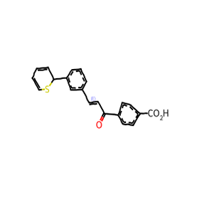 O=C(O)c1ccc(C(=O)/C=C/c2cccc(C3C=CC=CS3)c2)cc1